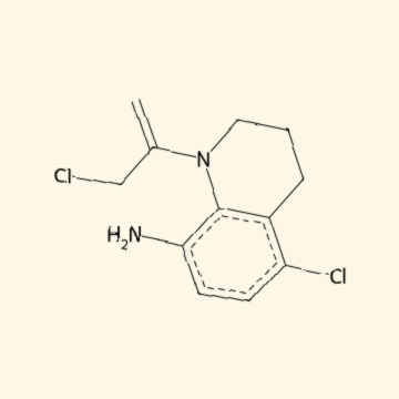 C=C(CCl)N1CCCc2c(Cl)ccc(N)c21